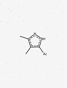 CC(=O)c1[nH]nc(C)c1C